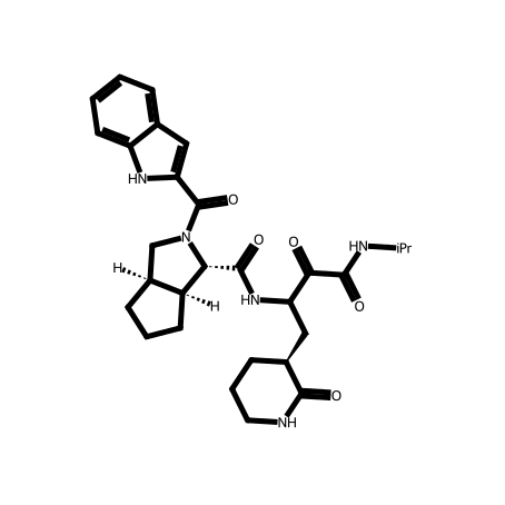 CC(C)NC(=O)C(=O)C(C[C@@H]1CCCNC1=O)NC(=O)[C@@H]1[C@H]2CCC[C@H]2CN1C(=O)c1cc2ccccc2[nH]1